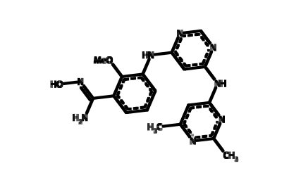 COc1c(Nc2cc(Nc3cc(C)nc(C)n3)ncn2)cccc1C(N)=NO